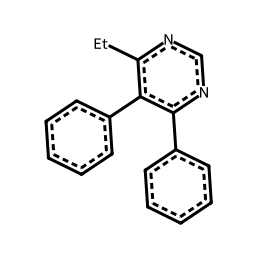 CCc1ncnc(-c2ccccc2)c1-c1ccccc1